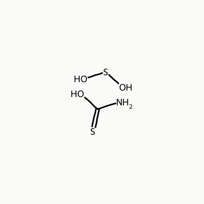 NC(O)=S.OSO